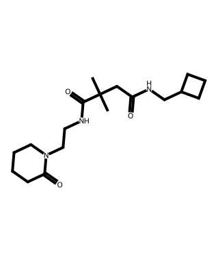 CC(C)(CC(=O)NCC1CCC1)C(=O)NCCN1CCCCC1=O